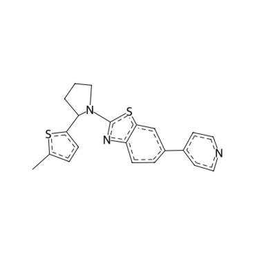 Cc1ccc(C2CCCN2c2nc3ccc(-c4ccncc4)cc3s2)s1